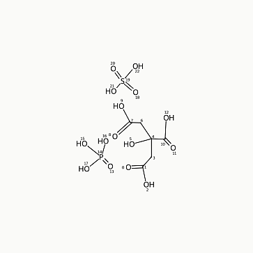 O=C(O)CC(O)(CC(=O)O)C(=O)O.O=P(O)(O)O.O=S(=O)(O)O